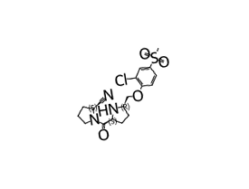 CS(=O)(=O)c1ccc(OC[C@H]2CC[C@@H](C(=O)N3CCC[C@H]3C#N)N2)c(Cl)c1